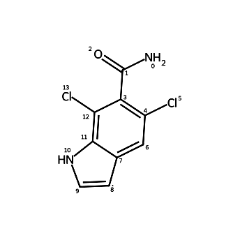 NC(=O)c1c(Cl)cc2[c]c[nH]c2c1Cl